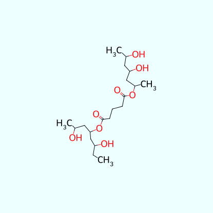 CCC(O)CC(CC(C)O)OC(=O)CCCC(=O)OC(C)CC(O)CC(C)O